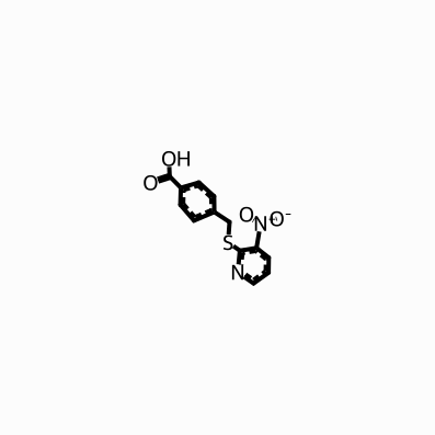 O=C(O)c1ccc(CSc2ncccc2[N+](=O)[O-])cc1